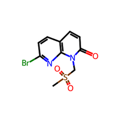 CS(=O)(=O)Cn1c(=O)ccc2ccc(Br)nc21